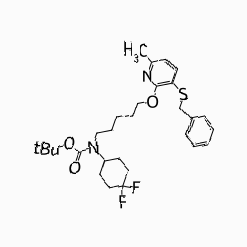 Cc1ccc(SCc2ccccc2)c(OCCCCCN(C(=O)OC(C)(C)C)C2CCC(F)(F)CC2)n1